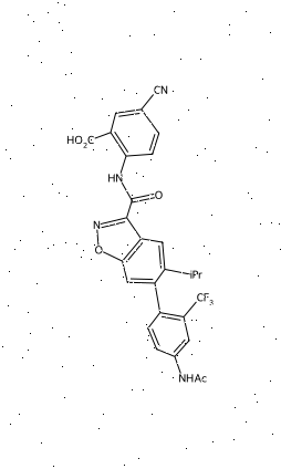 CC(=O)Nc1ccc(-c2cc3onc(C(=O)Nc4ccc(C#N)cc4C(=O)O)c3cc2C(C)C)c(C(F)(F)F)c1